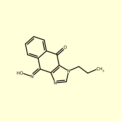 CCCn1cnc2c1C(=O)c1ccccc1C2=NO